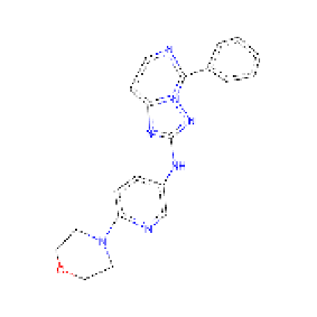 c1ccc(-c2nccc3nc(Nc4ccc(N5CCOCC5)nc4)nn23)cc1